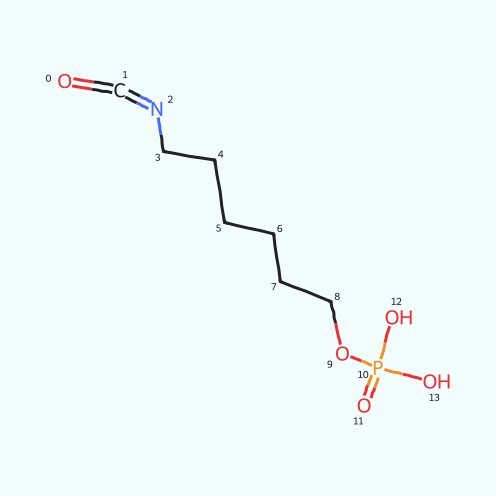 O=C=NCCCCCCOP(=O)(O)O